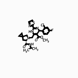 COC(=O)C1=C(CN2CC3(CC3)C[C@H]2C(=O)NC(C)C)NC(c2nccs2)=NC1c1ccc(F)cc1Cl